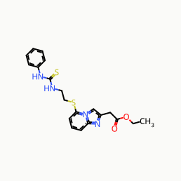 CCOC(=O)Cc1cn2c(SCCNC(=S)Nc3ccccc3)cccc2n1